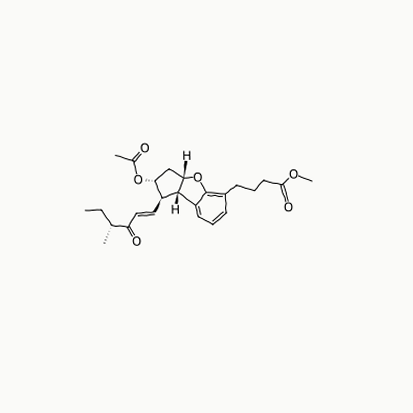 CC[C@@H](C)C(=O)/C=C/[C@@H]1[C@H]2c3cccc(CCCC(=O)OC)c3O[C@H]2C[C@H]1OC(C)=O